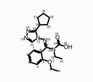 CCOc1ccccc1C(=Nn1cnnc1C1CCCC1)N(CC)C(=O)O